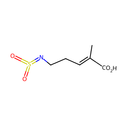 CC(=CCCN=S(=O)=O)C(=O)O